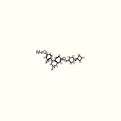 COc1ccc(C2CN(C)Cc3cc(OCC4CCN(C5CCC5)CC4)ccc32)c(F)c1